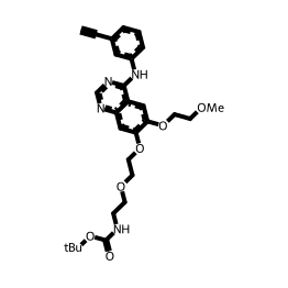 C#Cc1cccc(Nc2ncnc3cc(OCCOCCNC(=O)OC(C)(C)C)c(OCCOC)cc23)c1